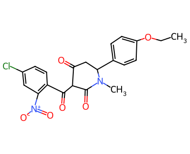 CCOc1ccc(C2CC(=O)C(C(=O)c3ccc(Cl)cc3[N+](=O)[O-])C(=O)N2C)cc1